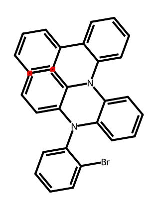 Brc1ccccc1N1c2ccccc2N(c2ccccc2-c2ccccc2)c2ccccc21